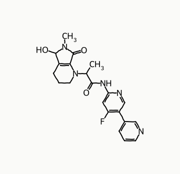 CC(C(=O)Nc1cc(F)c(-c2cccnc2)cn1)N1CCCC2=C1C(=O)N(C)C2O